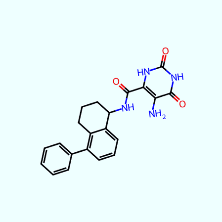 Nc1c(C(=O)NC2CCCc3c(-c4ccccc4)cccc32)[nH]c(=O)[nH]c1=O